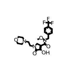 CON(Cc1ccc(C(F)(F)F)cc1)C(=O)C1=C(O)C(=O)N(CCN2CCOCC2)C1